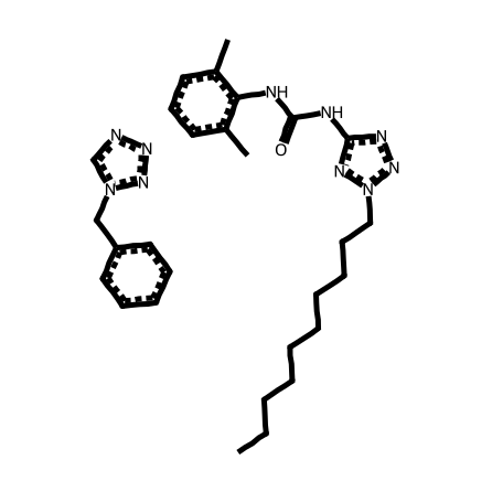 CCCCCCCCCCn1nnc(NC(=O)Nc2c(C)cccc2C)n1.c1ccc(Cn2cnnn2)cc1